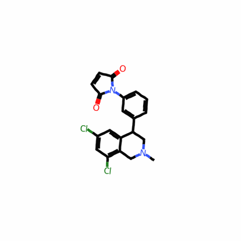 CN1Cc2c(Cl)cc(Cl)cc2C(c2cccc(N3C(=O)C=CC3=O)c2)C1